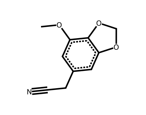 COc1cc(CC#N)cc2c1OCO2